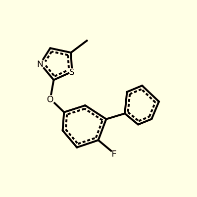 Cc1cnc(Oc2ccc(F)c(-c3ccccc3)c2)s1